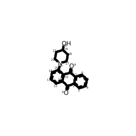 O=C1c2ccccc2C(=O)c2c1cccc2N1CCC(O)CC1